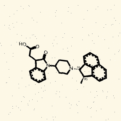 C[C@@H]1c2cccc3cccc(c23)[C@H]1N1CCC(N2C(=O)C(CC(=O)O)c3ccccc32)CC1